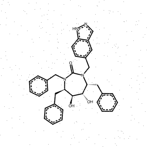 O=C1N(Cc2ccccc2)[C@H](Cc2ccccc2)[C@H](O)[C@@H](O)[C@@H](Cc2ccccc2)N1Cc1ccc2[nH]ncc2c1